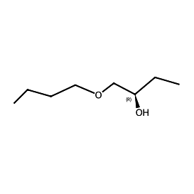 CCCCOC[C@H](O)CC